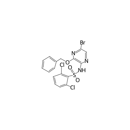 O=S(=O)(Nc1ncc(Br)nc1OCc1ccccc1)c1c(Cl)cccc1Cl